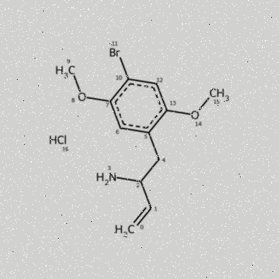 C=CC(N)Cc1cc(OC)c(Br)cc1OC.Cl